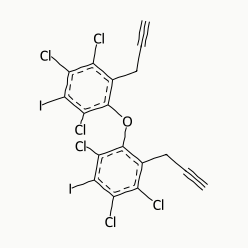 C#CCc1c(Cl)c(Cl)c(I)c(Cl)c1Oc1c(Cl)c(I)c(Cl)c(Cl)c1CC#C